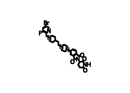 O=C1CCC(N2C(=O)c3ccc(N4CCN(CCC5CCN(Cc6ncc(Br)cc6F)CC5)CC4)cc3C2=O)C(=O)N1